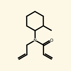 C=CCN(C(=O)C=C)C1CCCCC1C